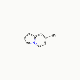 CC(C)c1ccn2cccc2c1